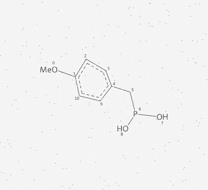 COc1ccc(CP(O)O)cc1